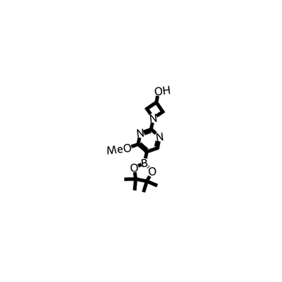 COc1nc(N2CC(O)C2)ncc1B1OC(C)(C)C(C)(C)O1